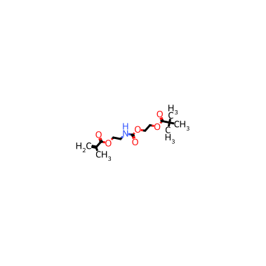 C=C(C)C(=O)OCCNC(=O)OCCOC(=O)C(C)(C)C